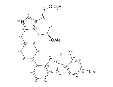 CO[C@H](C)Cn1c(/C=C/C(=O)O)cnc1CN1CCC(c2cccc3c2O[C@@](C)(c2ccc(Cl)cc2F)O3)CC1